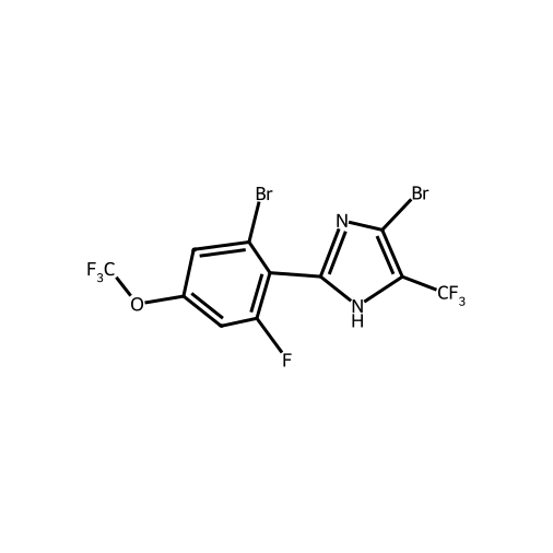 Fc1cc(OC(F)(F)F)cc(Br)c1-c1nc(Br)c(C(F)(F)F)[nH]1